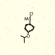 CC(C)Oc1cc[c]([Mg][Cl])cc1